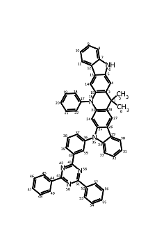 CC1(C)c2cc3[nH]c4ccccc4c3cc2N(c2ccccc2)c2cc3c(cc21)c1ccccc1n3-c1cccc(-c2nc(-c3ccccc3)nc(-c3ccccc3)n2)c1